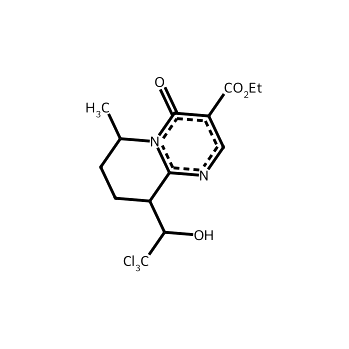 CCOC(=O)c1cnc2n(c1=O)C(C)CCC2C(O)C(Cl)(Cl)Cl